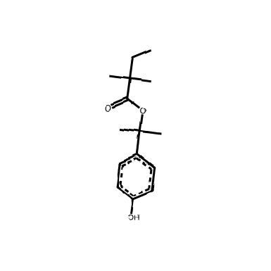 CCC(C)(C)C(=O)OC(C)(C)c1ccc(O)cc1